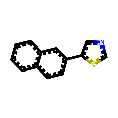 c1ccc2cc(-c3cncs3)ccc2c1